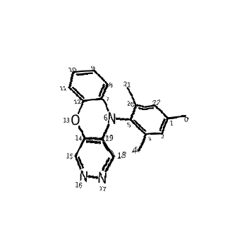 Cc1cc(C)c(N2c3ccccc3Oc3cnncc32)c(C)c1